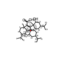 CC(C)C1CCC(C)(C(C(=O)O)=C(C2(C)CCC(C(C)C)CC2O)C2(C)CCC(C(C)C)CC2O)C(O)C1